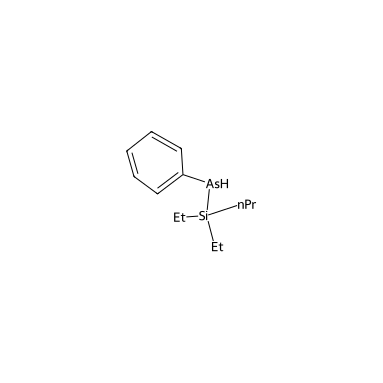 CCC[Si](CC)(CC)[AsH]c1ccccc1